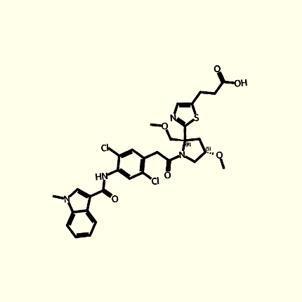 COC[C@@]1(c2ncc(CCC(=O)O)s2)C[C@H](OC)CN1C(=O)Cc1cc(Cl)c(NC(=O)c2cn(C)c3ccccc23)cc1Cl